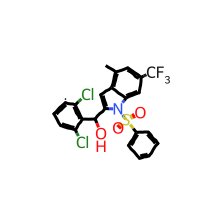 Cc1cc(C(F)(F)F)cc2c1cc(C(O)c1c(Cl)[c]ccc1Cl)n2S(=O)(=O)c1ccccc1